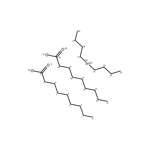 CCCCCCCCC(=O)[O-].CCCCCCCCC(=O)[O-].CCC[CH2][Sn+2][CH2]CCC